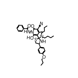 CCCCN(CCCC)C1(c2c(C)c(C#N)c(=O)n(NC(=O)c3ccccc3)c2O)NC(c2ccc(OCCC)cc2)CS1